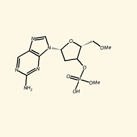 COC[C@H]1O[C@@H](n2cnc3cnc(N)nc32)CC1OP(=O)(O)OC